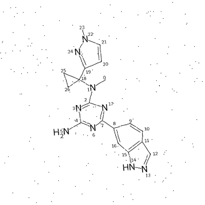 CN(c1nc(N)nc(-c2ccc3cn[nH]c3c2)n1)C1(c2ccn(C)n2)CC1